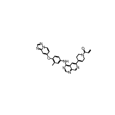 C=CC(=O)N1CC=C(c2cc3c(Nc4ccc(Oc5ccn6ncnc6c5)c(C)c4)ncnc3cn2)CC1